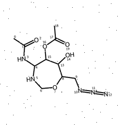 CC(=O)NC1NCOC(CN=[N+]=[N-])C(O)C1OC(C)=O